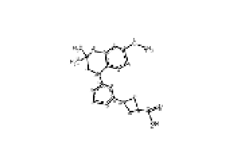 COc1ccc2c(c1)OC(C)(C)CN2c1cccc(N2CC(C(=O)O)C2)c1